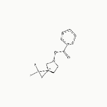 O=C(ON1CC[C@@]2(C1)CC2(F)F)c1ccccc1